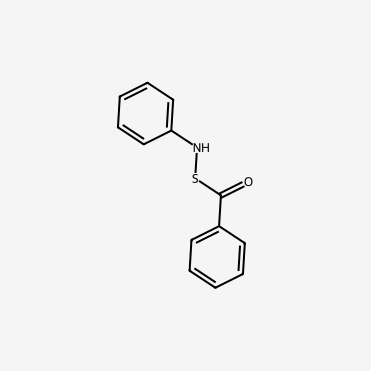 O=C(SNc1ccccc1)c1ccccc1